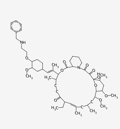 CCC1/C=C(\C)CC(C)CC(OC)C2OC(O)(C(=O)C(=O)N3CCCCC3C(=O)OC(C(C)=CC3CCC(OCCNCc4ccccc4)C(OC)C3)C(C)CCC1=O)C(C)CC2OC